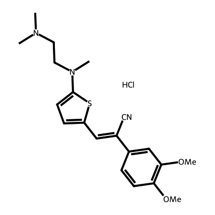 COc1ccc(/C(C#N)=C/c2ccc(N(C)CCN(C)C)s2)cc1OC.Cl